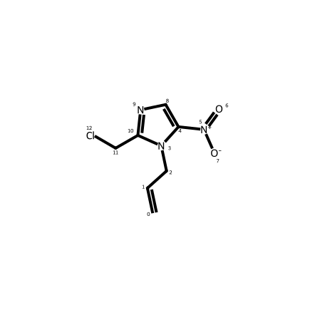 C=CCn1c([N+](=O)[O-])cnc1CCl